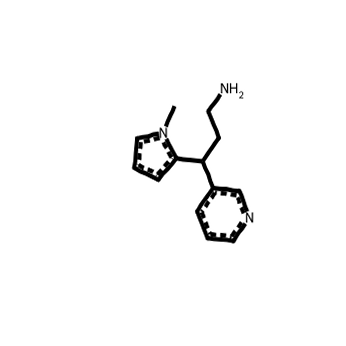 Cn1cccc1C(CCN)c1cccnc1